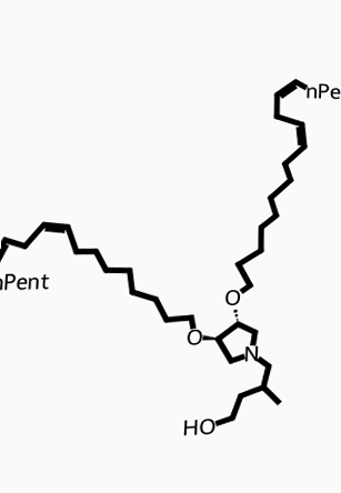 CCCCC/C=C\C/C=C\CCCCCCCCO[C@@H]1CN(CC(C)CCO)C[C@H]1OCCCCCCCC/C=C\C/C=C\CCCCC